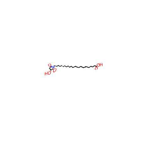 O=C(O)CCCCCCCCCCCCCCCCCCCCCN1C(=O)CC(O)C1=O